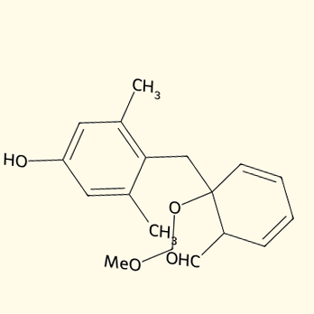 COCOC1(Cc2c(C)cc(O)cc2C)C=CC=CC1C=O